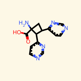 NC1(C(=O)O)CC(c2ccncn2)C1c1ccncn1